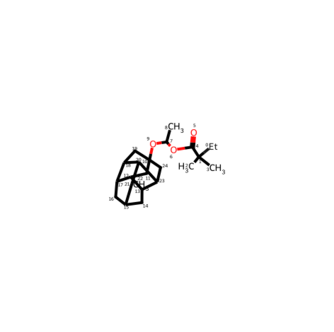 CCC(C)(C)C(=O)OC(C)OC12CC3C4CC5CC3C(C1)C(C5C)C4C2